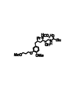 COCCCOc1cc(CC(CC(NC(=O)O)[C@@H](O)CNC(=O)C(C)(C)C)C(C)C)ccc1OC